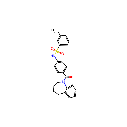 Cc1cccc(S(=O)(=O)Nc2ccc(C(=O)N3CCCCc4ccccc43)cc2)c1